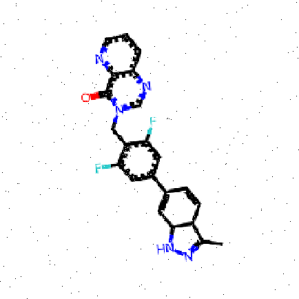 CC1=NNC2C=C(c3cc(F)c(Cn4cnc5cccnc5c4=O)c(F)c3)C=CC12